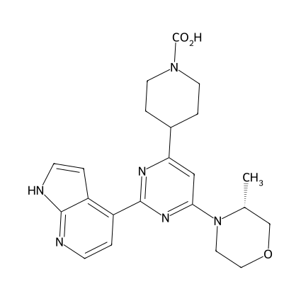 C[C@@H]1COCCN1c1cc(C2CCN(C(=O)O)CC2)nc(-c2ccnc3[nH]ccc23)n1